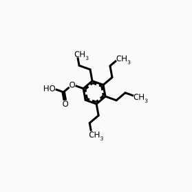 CCCc1cc(OC(=O)O)c(CCC)c(CCC)c1CCC